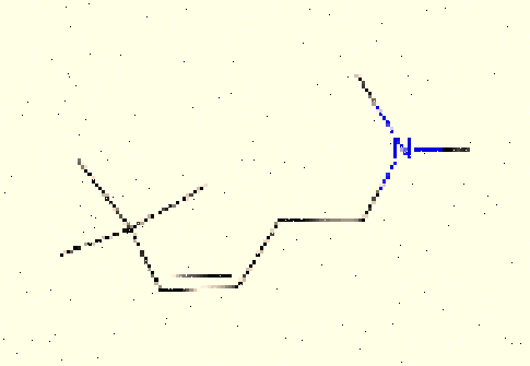 CN(C)CC/C=C\C(C)(C)C